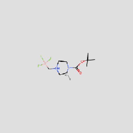 C[C@@H]1C[NH+](C[B-](F)(F)F)CCN1C(=O)OC(C)(C)C